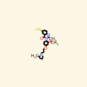 COc1cc(OCCCN2CCC[C@H]2C)ccc1-n1c(C)nc2ccc(S)cc2c1=O